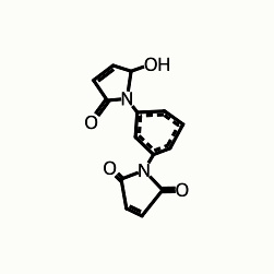 O=C1C=CC(=O)N1c1cccc(N2C(=O)C=CC2O)c1